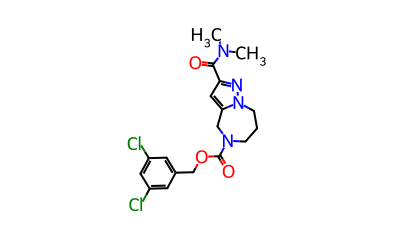 CN(C)C(=O)c1cc2n(n1)CCCN(C(=O)OCc1cc(Cl)cc(Cl)c1)C2